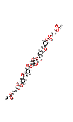 C=CC(=O)OCCCCOC(=O)Oc1ccc(C(=O)Cc2ccc(C(=O)O[C@H]3CO[C@H]4[C@@H]3OC[C@H]4OC(=O)c3ccc(CC(=O)c4ccc(OC(=O)OCCCCOC(=O)C=C)cc4)cc3)cc2)cc1